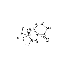 CCC1(CC)OC2=C(CC1C)C(=O)CCC2